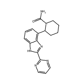 NC(=O)N1CCCCC1c1cccc2[nH]c(-c3ncccn3)nc12